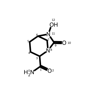 NC(=O)C1CCC2CN1C(=O)N2O